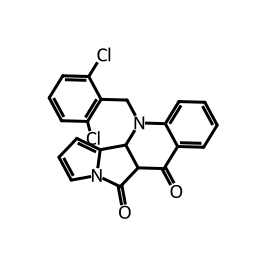 O=C1c2ccccc2N(Cc2c(Cl)cccc2Cl)C2c3cccn3C(=O)C12